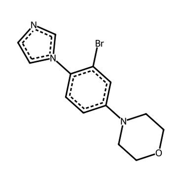 Brc1cc(N2CCOCC2)ccc1-n1ccnc1